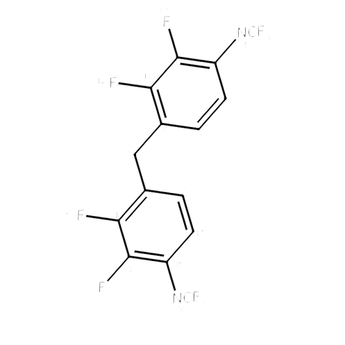 Fc1c(Cc2ccc(NC(F)(F)F)c(F)c2F)ccc(NC(F)(F)F)c1F